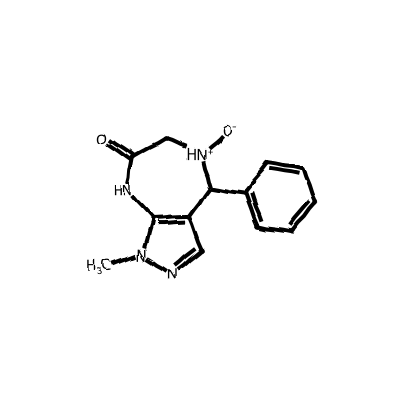 Cn1ncc2c1NC(=O)C[NH+]([O-])C2c1ccccc1